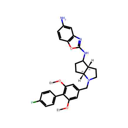 CCOc1cc(CN2CC[C@H]3C(Nc4nc5cc(N)ccc5o4)CC[C@H]32)cc(OCC)c1-c1ccc(F)cc1